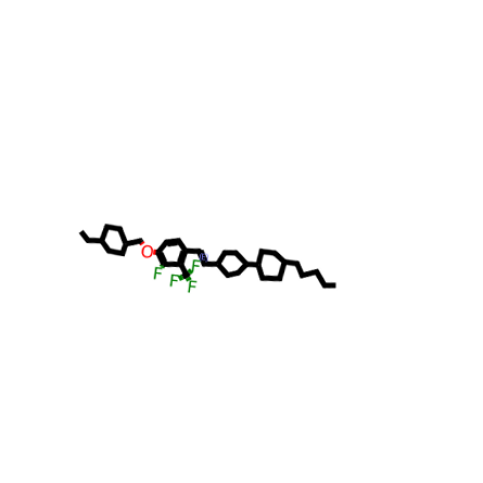 CCCCCC1CCC(C2CCC(/C=C/c3ccc(OCC4CCC(CC)CC4)c(F)c3C(F)(F)F)CC2)CC1